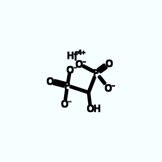 O=P([O-])([O-])C(O)P(=O)([O-])[O-].[Hf+4]